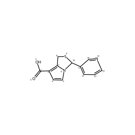 O=C(O)c1ccn2c1CSC2c1cccnc1